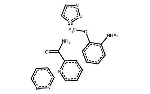 CC(=O)Nc1ccccc1OC(F)(F)F.NC(=O)c1ccccn1.c1c[se]nn1.c1ccnnc1